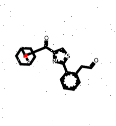 O=CCc1ccccc1-c1nc(C(=O)N2CC3CCC(CC3)C2)cs1